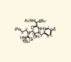 CC(=O)NC(C(=O)N[C@@H](Cc1ccc(F)cc1)C(O)CN(CCC(C)C)C(=O)NC(C)(C)C)C(C)(C)C